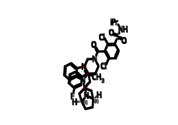 Cc1nc2ccccc2n1[C@H]1C[C@H]2CC[C@@H](C1)N2CCC1(c2cccc(F)c2)CCN(C(=O)c2c(Cl)ccc(S(=O)(=O)NC(C)C)c2Cl)CC1